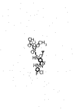 CCOC(=O)CCN(CC(=O)OCC)C(=O)C=CCNc1cc2c(Nc3ccc(F)c(Cl)c3)ncnc2cc1OCC1CC1